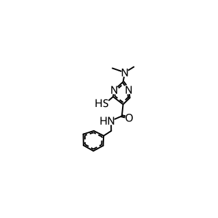 CN(C)c1ncc(C(=O)NCc2ccccc2)c(S)n1